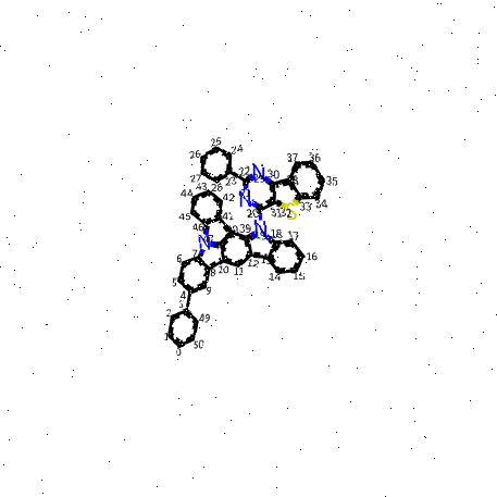 c1ccc(-c2ccc3c(c2)c2cc4c5ccccc5n(-c5nc(-c6ccccc6)nc6c5sc5ccccc56)c4c4c5ccccc5n3c24)cc1